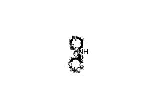 O=C(NC1CCCCC=NCCCCC1)OC1CCCCC=NCCCCC1